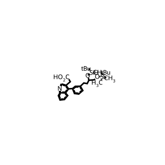 C[SiH](OC(CCc1cccc(-c2c(CC(=O)O)cnc3ccccc23)c1)CO[Si](C)(C)C(C)(C)C)C(C)(C)C